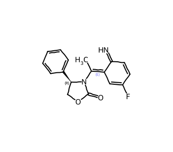 C/C(=C1/C=C(F)C=CC1=N)N1C(=O)OC[C@H]1c1ccccc1